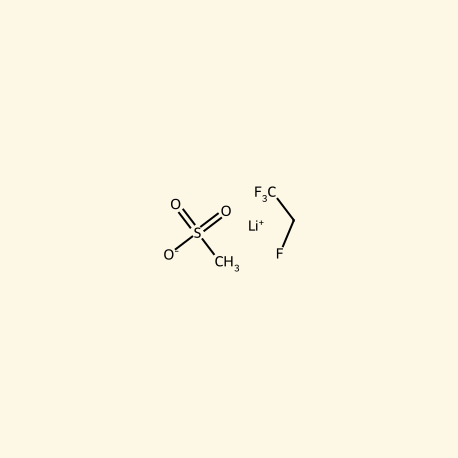 CS(=O)(=O)[O-].FCC(F)(F)F.[Li+]